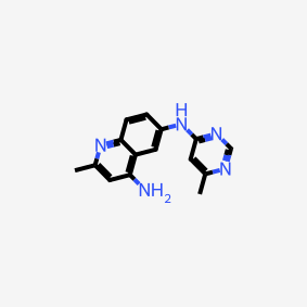 Cc1cc(Nc2ccc3nc(C)cc(N)c3c2)ncn1